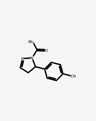 CC(C)(C)C(=O)N1N=CCC1c1ccc(C#N)cc1